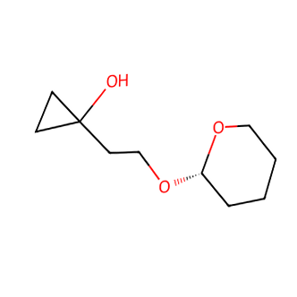 OC1(CCO[C@H]2CCCCO2)CC1